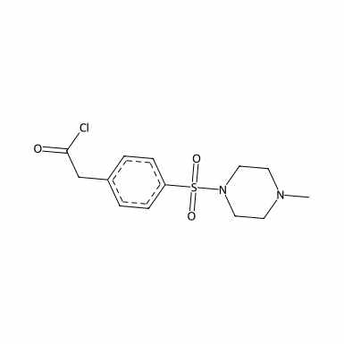 CN1CCN(S(=O)(=O)c2ccc(CC(=O)Cl)cc2)CC1